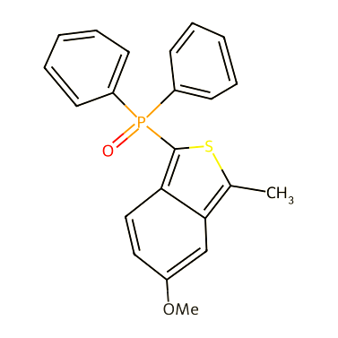 COc1ccc2c(P(=O)(c3ccccc3)c3ccccc3)sc(C)c2c1